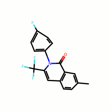 Cc1ccc2cc(C(F)(F)F)n(-c3ccc(F)cc3)c(=O)c2c1